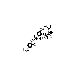 CC(C)(C)OC(=O)NCC1CCCN1CCOc1ccc(NC(=O)COc2ccc(C(F)(F)F)cc2Cl)cc1Cl